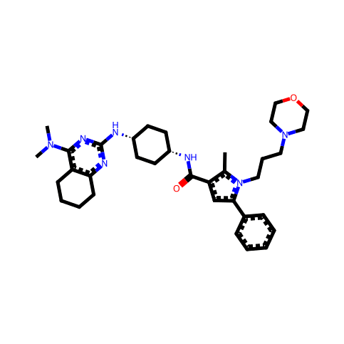 Cc1c(C(=O)N[C@H]2CC[C@@H](Nc3nc4c(c(N(C)C)n3)CCCC4)CC2)cc(-c2ccccc2)n1CCCN1CCOCC1